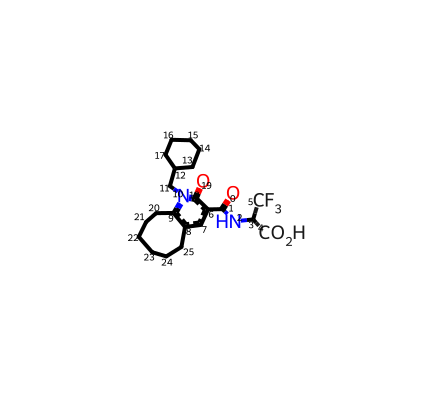 O=C(NC(C(=O)O)C(F)(F)F)c1cc2c(n(CC3CCCCC3)c1=O)CCCCCC2